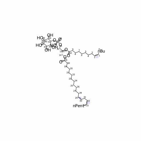 CCCC/C=C\CCCCCCCC(=O)O[C@H](COC(=O)CCCCCCCCCCC/C=C\C/C=C\CCCCC)COP(=O)(O)OC1C(O)C(O)C(O)[C@@H](O)C1O